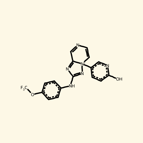 Oc1ccc([N+]23C=CN=CC2=NC(Nc2ccc(OC(F)(F)F)cc2)=N3)cn1